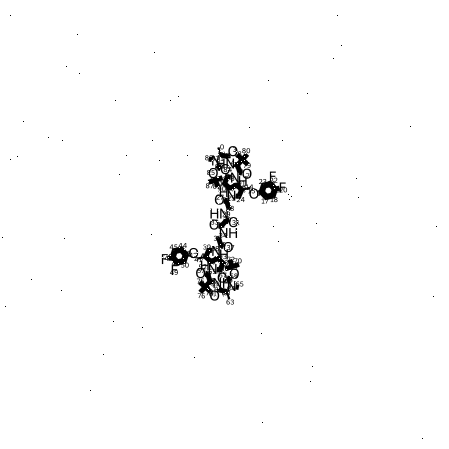 C[C@@H](C(=O)NC(C(=O)N1CC[C@@H]2[C@H]1[C@@H](COc1ccc(F)c(F)c1)CN2C(=O)CNC(=O)C(=O)NCC(=O)N1C[C@H](COc2ccc(F)c(F)c2)[C@@H]2[C@H]1CCN2C(=O)C(NC(=O)[C@H](C)N(C)C(=O)OC(C)(C)C)C(C)(C)C)C(C)(C)C)N(C)C(=O)OC(C)(C)C